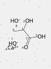 CC(O)C(=O)O.[Ca+2].[OH-].[OH-]